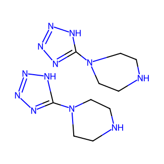 C1CN(c2nnn[nH]2)CCN1.C1CN(c2nnn[nH]2)CCN1